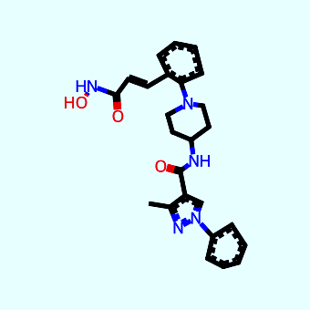 Cc1nn(-c2ccccc2)cc1C(=O)NC1CCN(c2ccccc2C=CC(=O)NO)CC1